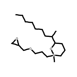 CCCCCCCC(C)C1CCC[Si](C)(CCCOCC2CO2)O1